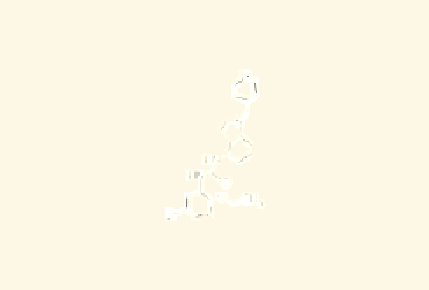 CCOc1ccc(Br)cc1NC(=O)Nc1cccc2c1ccn2Cc1ccncc1